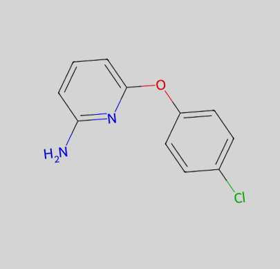 Nc1cccc(Oc2ccc(Cl)cc2)n1